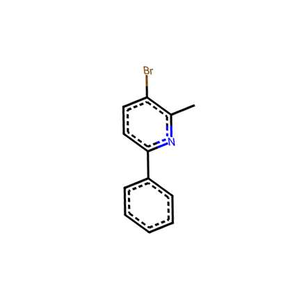 Cc1nc(-c2ccccc2)ccc1Br